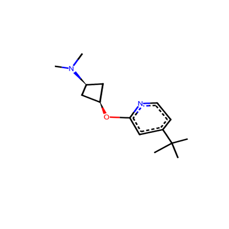 CN(C)[C@H]1C[C@@H](Oc2cc(C(C)(C)C)ccn2)C1